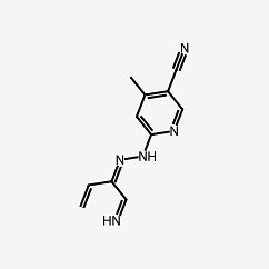 C=C/C(C=N)=N/Nc1cc(C)c(C#N)cn1